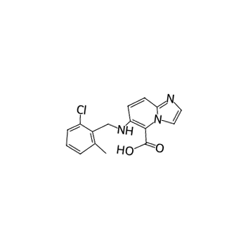 Cc1cccc(Cl)c1CNc1ccc2nccn2c1C(=O)O